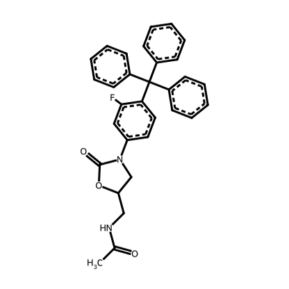 CC(=O)NCC1CN(c2ccc(C(c3ccccc3)(c3ccccc3)c3ccccc3)c(F)c2)C(=O)O1